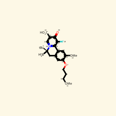 B[C@@]1(C(C)(C)C)Cc2cc(OCCCOC)c(OC)cc2-c2c(F)c(=O)c(C(=O)O)cn21